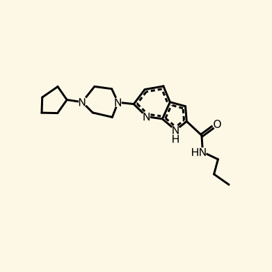 CCCNC(=O)c1cc2ccc(N3CCN(C4CCCC4)CC3)nc2[nH]1